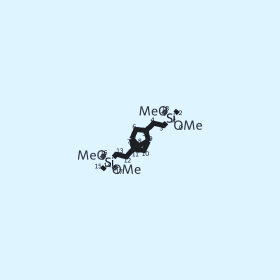 CO[Si](C)(CCC1CC2CC1CC2CC[Si](C)(OC)OC)OC